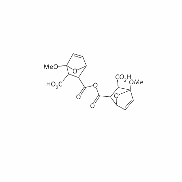 COC12C=CC(O1)C(C(=O)OC(=O)C1C3C=CC(OC)(O3)C1C(=O)O)C2C(=O)O